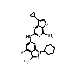 Cc1nn(C2CCCCO2)c2cc(Nc3nc(N)c4occ(C5CC5)c4n3)cc(F)c12